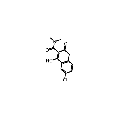 CN(C)C(=O)C1=C(O)c2cc(Cl)ccc2CC1=O